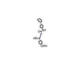 CCCC/C(=C\C=C\C(=O)Nc1ccc(-c2cccnc2)cc1)c1ccc(OC)cc1